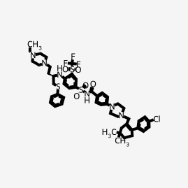 CCN1CCN(CC[C@H](CSc2ccccc2)Nc2ccc(S(=O)(=O)NC(=O)c3ccc(N4CCN(CC5=C(c6ccc(Cl)cc6)CCC(C)(C)C5)CC4)cc3)cc2S(=O)(=O)C(F)(F)F)CC1